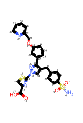 NS(=O)(=O)c1ccc(Cc2cn(-c3nc(C(=O)O)cs3)nc2-c2cccc(OCc3ccccn3)c2)cc1